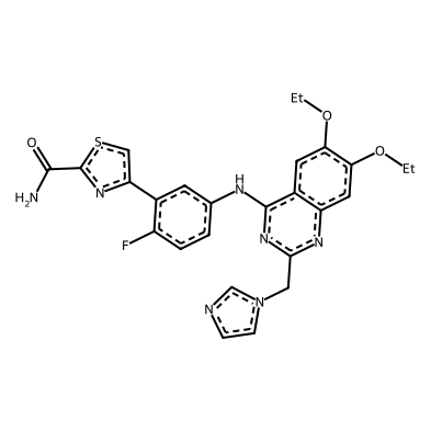 CCOc1cc2nc(Cn3ccnc3)nc(Nc3ccc(F)c(-c4csc(C(N)=O)n4)c3)c2cc1OCC